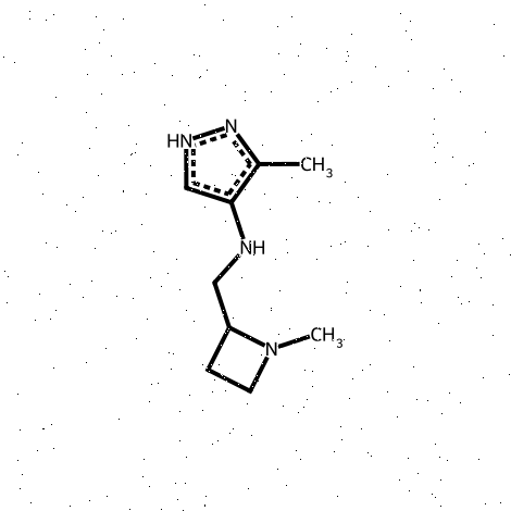 Cc1n[nH]cc1NCC1CCN1C